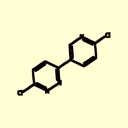 Clc1ccc(-c2ccc(Cl)nn2)cn1